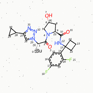 CC(C)(C)[C@@H](C(=O)N1C[C@H](O)C[C@H]1C(=O)NC1(c2ccc(F)cc2F)CCC1)n1cc(C2CC2)nn1